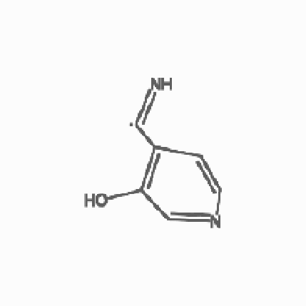 N=[C]c1ccncc1O